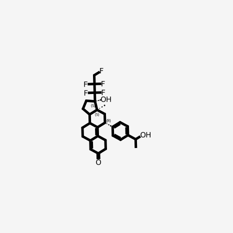 CC(O)c1ccc([C@H]2C[C@@]3(C)C(CC[C@@]3(O)C(F)(F)C(F)(F)CF)C3CCC4=CC(=O)CCC4=C32)cc1